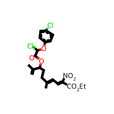 C=C(C)C(CCC(C)=CC=C(C(=O)OCC)[N+](=O)[O-])OC(=O)C(Cl)Oc1ccc(Cl)cc1